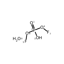 O.O=P(O)(OF)OF